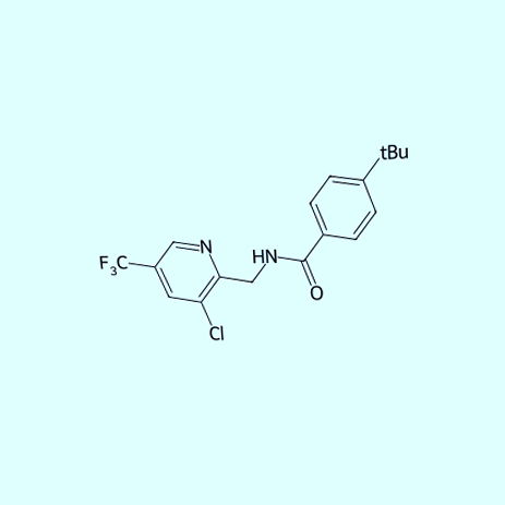 CC(C)(C)c1ccc(C(=O)NCc2ncc(C(F)(F)F)cc2Cl)cc1